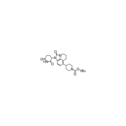 CC(C)(C)OC(=O)N1CCC(c2ccc3c4c2CCCn4c(=O)n3C2CCC(=O)NC2=O)CC1